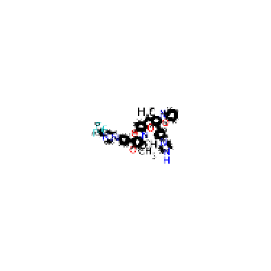 Cc1c2nc3cc(Cc4c(C)c5nc6ccccc6oc-5c(-c5ccc(N6CCNCC6)cc5)c4=O)ccc3oc-2c(-c2ccc(N3CCN(CC(F)(F)F)CC3)cc2)c(=O)c1C